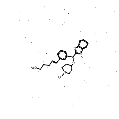 CC(=O)OCCCC=Cc1cccc(C(OC2CCN(C)CC2)c2nc3ccccc3s2)c1